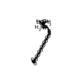 CCOCc1nc2c(N)nc3cc(CCCN4CCN(CCOCCOCCOCCOCCOCCOCCOCCOCCOCCOCCOCCN5C(=O)C=CC5=O)CC4)ccc3c2n1CC(C)(CO)CO